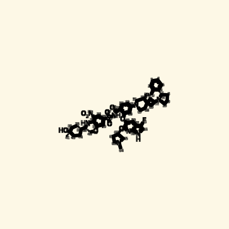 CC(C)c1ccccc1[C@@H]1CCCN1C1CC2(CCN(c3ccc(C(=O)NS(=O)(=O)c4cc5c(c([N+](=O)[O-])c4)N[C@@H]([C@H]4CC[C@](C)(O)CC4)CO5)c(Oc4cc5c(F)c[nH]c5nc4O[C@@H]4CCN(C)C4)c3)CC2)C1